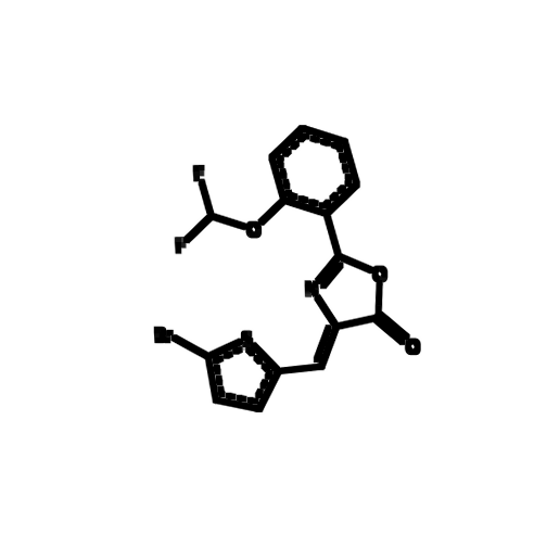 O=C1OC(c2ccccc2OC(F)F)=NC1=Cc1ccc(Br)s1